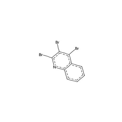 Brc1nc2ccccc2c(Br)c1Br